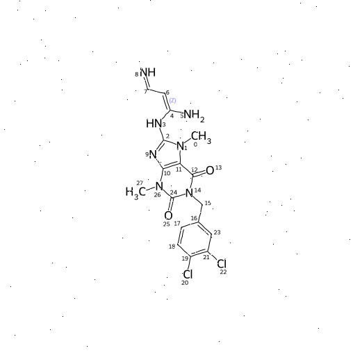 Cn1c(N/C(N)=C\C=N)nc2c1c(=O)n(Cc1ccc(Cl)c(Cl)c1)c(=O)n2C